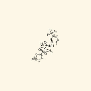 CC(C)(C(=O)Nc1cccc(C(F)(F)F)n1)S(=O)(=O)N1CC[C@@H](F)C1